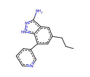 CCCc1cc(-c2cccnc2)c2[nH]nc(N)c2c1